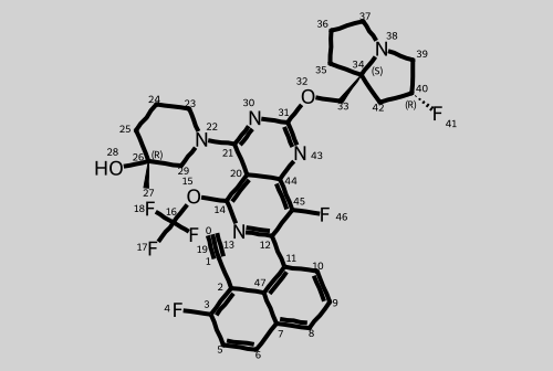 C#Cc1c(F)ccc2cccc(-c3nc(OC(F)(F)F)c4c(N5CCC[C@@](C)(O)C5)nc(OC[C@@]56CCCN5C[C@H](F)C6)nc4c3F)c12